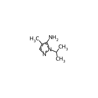 Cc1cnn(C(C)C)c1N